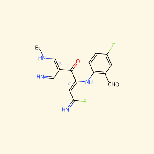 CCN/C=C(\C=N)C(=O)/C(=C/C(=N)F)Nc1ccc(F)cc1C=O